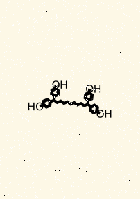 Oc1ccc(C(CCCCCCCCCC(c2ccc(O)cc2)c2ccc(O)cc2)c2ccc(O)cc2)cc1